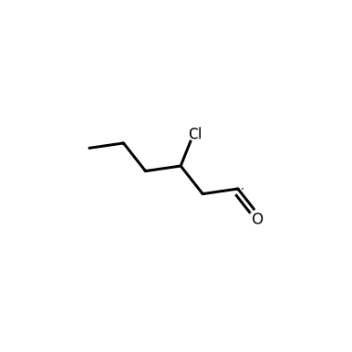 CCCC(Cl)C[C]=O